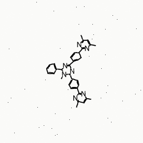 Cc1cc(C)nc(-c2ccc(C3=NC(C4=CCC(c5nc(C)cc(C)n5)C=C4)=NC(c4ccccc4)N3C)cc2)n1